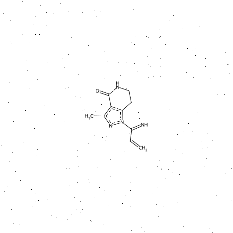 C=CC(=N)n1nc(C)c2c1CCNC2=O